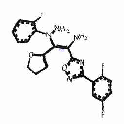 N/C(=C(/C1CCCO1)N(N)c1ccccc1F)c1nc(-c2cc(F)ccc2F)no1